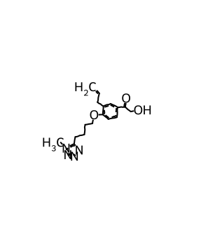 C=CCc1cc(C(=O)CO)ccc1OCCCCc1nnnn1C